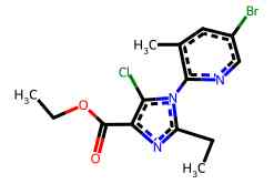 CCOC(=O)c1nc(CC)n(-c2ncc(Br)cc2C)c1Cl